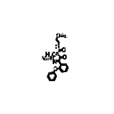 CON=C(C(=O)N(C)C(=O)OCCOC(C)=O)c1ccccc1Oc1ccccc1